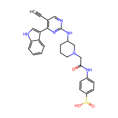 C#Cc1cnc(NC2CCCN(CC(=O)Nc3ccc(S(=O)O)cc3)C2)nc1-c1c[nH]c2ccccc12